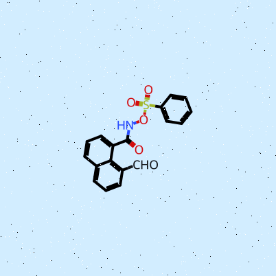 O=Cc1cccc2cccc(C(=O)NOS(=O)(=O)c3ccccc3)c12